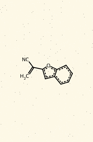 C=C(C#N)c1cc2ccccc2o1